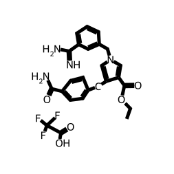 CCOC(=O)c1cn(Cc2cccc(C(=N)N)c2)cc1Cc1ccc(C(N)=O)cc1.O=C(O)C(F)(F)F